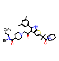 CCN(CCOC)C(=O)C1CCN(CC(=O)c2c(-c3cc(C)cc(C)c3)[nH]c3sc(C(C)(C)C(=O)N4C5CCC4CC5)cc23)CC1